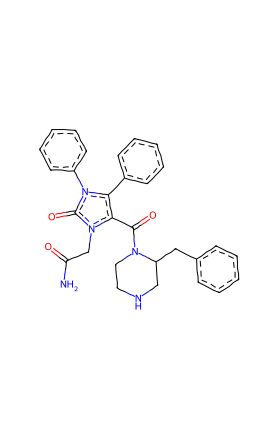 NC(=O)Cn1c(C(=O)N2CCNCC2Cc2ccccc2)c(-c2ccccc2)n(-c2ccccc2)c1=O